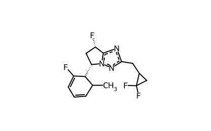 CC1C=CC=C(F)C1[C@@H]1C[C@H](F)c2nc(CC3CC3(F)F)nn21